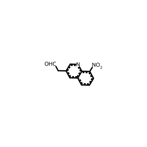 O=CCc1cnc2c([N+](=O)[O-])cccc2c1